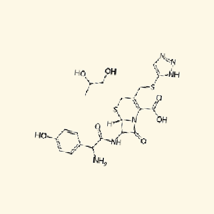 CC(O)CO.NC(C(=O)NC1C(=O)N2C(C(=O)O)=C(CSc3cnn[nH]3)CS[C@@H]12)c1ccc(O)cc1